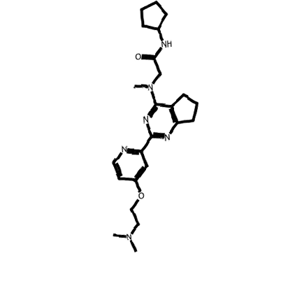 CN(C)CCOc1ccnc(-c2nc3c(c(N(C)CC(=O)NC4CCCC4)n2)CCC3)c1